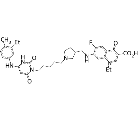 CCc1cc(Nc2cc(=O)n(CCCCCN3CCC(CNc4cc5c(cc4F)c(=O)c(C(=O)O)cn5CC)C3)c(=O)[nH]2)ccc1C